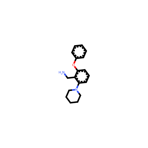 NCc1c(Oc2ccccc2)cccc1N1CCCCC1